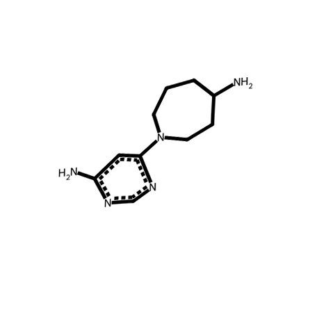 Nc1cc(N2CCCC(N)CC2)ncn1